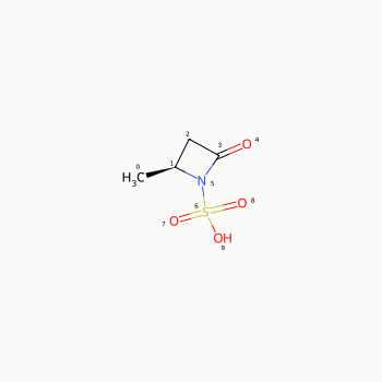 C[C@H]1CC(=O)N1S(=O)(=O)O